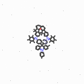 C=C(/C=C\C(=C/C)N(c1ccc2c(c1)C(C)(C)c1ccccc1-2)c1c(C)c(C)c(C)c(C)c1C)C1(c2ccc(N(c3ccc4c(c3)C(C)(C)c3ccccc3-4)c3c(C)c(C)c(C)c(C)c3C)cc2)c2ccccc2N(c2ccc(C)cc2)c2ccc(C)cc21